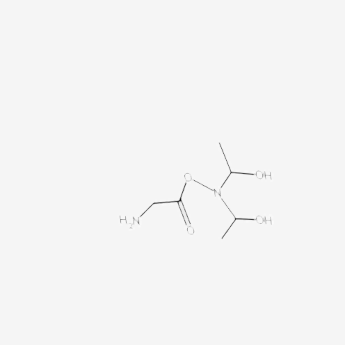 CC(O)N(OC(=O)CN)C(C)O